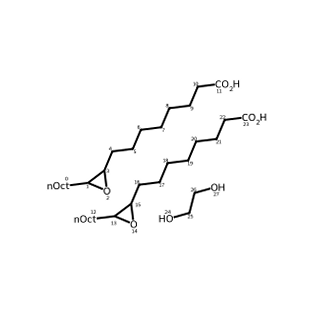 CCCCCCCCC1OC1CCCCCCCC(=O)O.CCCCCCCCC1OC1CCCCCCCC(=O)O.OCCO